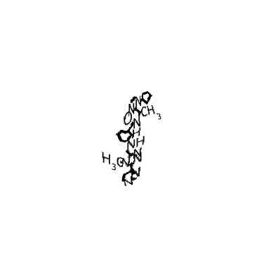 CC(NC(=O)c1cccc(NCc2nnc(-c3ccncn3)n2C)c1)c1nccn1-c1ccccc1